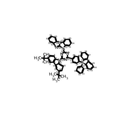 CC(C)(C)c1ccc2c(c1)c1cc(C(C)(C)C)ccc1n2-c1nc(-c2ccc(S(c3ccccc3)(c3ccccc3)c3ccccc3)cc2)nc(-n2c3ccccc3n3c4ccccc4nc23)n1